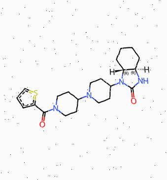 O=C(c1cccs1)N1CCC(N2CCC(N3C(=O)N[C@@H]4CCCC[C@H]43)CC2)CC1